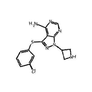 Nc1ncnc2c1c(Sc1cccc(Cl)c1)nn2C1CNC1